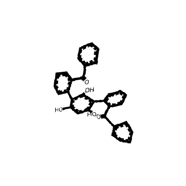 O=C(c1ccccc1)c1ccccc1-c1c(O)cc(O)c(-c2ccccc2C(=O)c2ccccc2)c1O